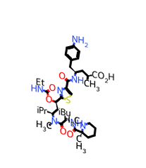 CCNC(=O)O[C@H](C[C@H](C(C)C)N(C)C(=O)[C@@H](NC(=O)[C@]1(C)CCCCN1C)[C@@H](C)CC)c1nc(C(=O)N[C@@H](Cc2ccc(N)cc2)C[C@H](C)C(=O)O)cs1